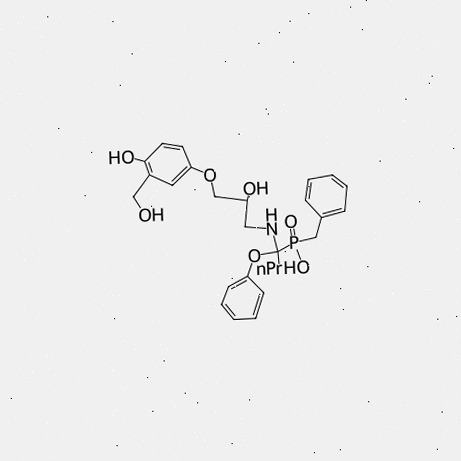 CCCC(NCC(O)COc1ccc(O)c(CO)c1)(Oc1ccccc1)P(=O)(O)Cc1ccccc1